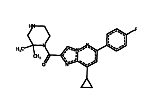 CC1(C)CNCCN1C(=O)c1cn2nc(-c3ccc(F)cc3)cc(C3CC3)c2n1